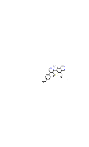 Cc1c2c(c(CC(C)(C)C)c3cnccc13)Sc1cc3cc(CC(C)(C)C)ccc3c3cc[n+](C)c-2c13